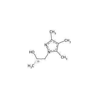 Cc1nn(C[C@H](C)O)c(C)c1C